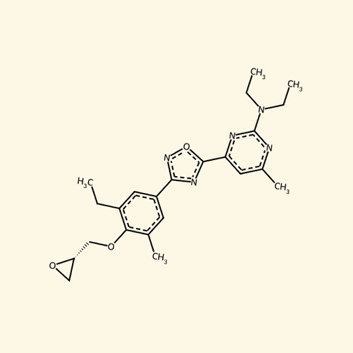 CCc1cc(-c2noc(-c3cc(C)nc(N(CC)CC)n3)n2)cc(C)c1OC[C@@H]1CO1